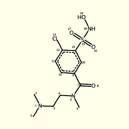 CN(C)CCN(C)C(=O)c1ccc(Cl)c(S(=O)(=O)NO)c1